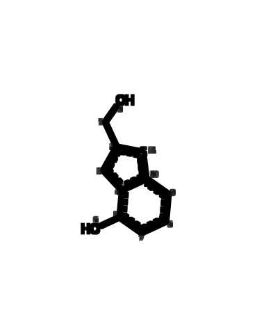 OCc1cc2c(O)cccc2s1